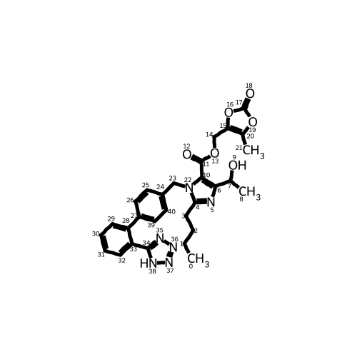 CCCCc1nc(C(C)O)c(C(=O)OCc2oc(=O)oc2C)n1Cc1ccc(-c2ccccc2-c2nnn[nH]2)cc1